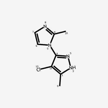 Cc1[nH]nc(-n2ccnc2C)c1Cl